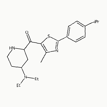 CCN(CC)C1CCNC(C(=O)c2sc(-c3ccc(C(C)C)cc3)nc2C)C1